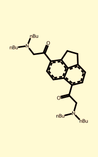 CCCCN(CCCC)CC(=O)c1ccc2c(C(=O)CN(CCCC)CCCC)ccc3c2c1CC3